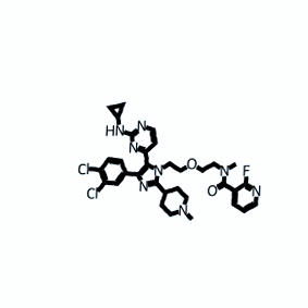 CN1CCC(c2nc(-c3ccc(Cl)c(Cl)c3)c(-c3ccnc(NC4CC4)n3)n2CCOCCN(C)C(=O)c2cccnc2F)CC1